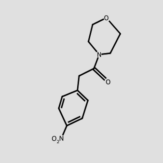 O=C(Cc1ccc([N+](=O)[O-])cc1)N1CCOCC1